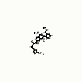 Cn1cc(C2CC2C(=O)Nc2cc3c(Cl)c(-c4cnccc4CCO)nc(N)c3cn2)cn1